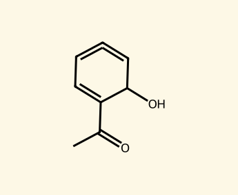 CC(=O)C1=CC=C=CC1O